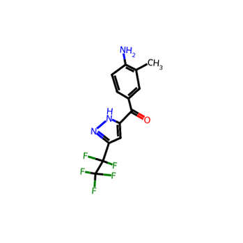 Cc1cc(C(=O)c2cc(C(F)(F)C(F)(F)F)n[nH]2)ccc1N